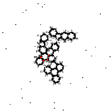 c1ccc(-c2nc(-c3ccc(-n4c5ccccc5c5cc6ccccc6cc54)cc3-c3c4ccccc4cc4sc5ccccc5c34)nc(-c3cccc4c5ccccc5c5ccccc5c34)n2)cc1